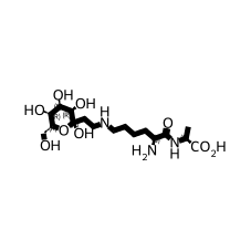 C[C@H](NC(=O)[C@@H](N)CCCCNCC[C@]1(O)O[C@H](CO)[C@H](O)[C@H](O)[C@H]1O)C(=O)O